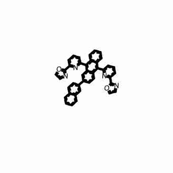 c1cc(-c2ncco2)nc(-c2c3ccccc3c(-c3cccc(-c4ncco4)n3)c3cc(-c4ccc5ccccc5c4)ccc23)c1